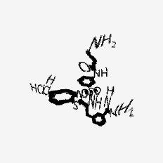 Cl.Cl.N=C(N)c1cccc(CC(NS(=O)(=O)c2cccc(NC(=O)CCN)c2)c2nc3ccccc3s2)c1